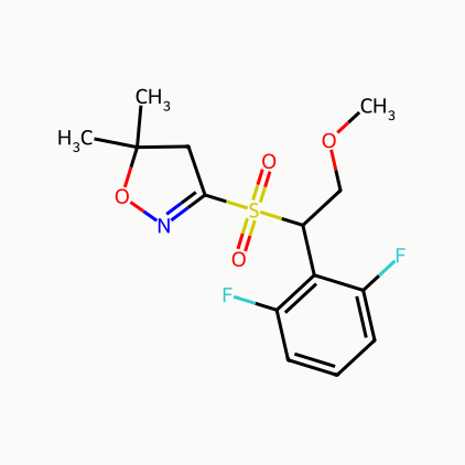 COCC(c1c(F)cccc1F)S(=O)(=O)C1=NOC(C)(C)C1